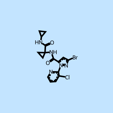 O=C(NC1(C(=O)NC2CC2)CC1)c1cc(Br)nn1-c1ncccc1Cl